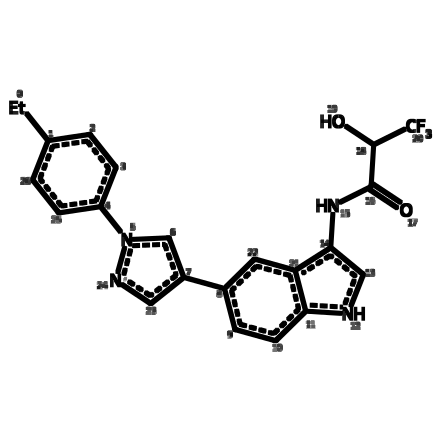 CCc1ccc(-n2cc(-c3ccc4[nH]cc(NC(=O)C(O)C(F)(F)F)c4c3)cn2)cc1